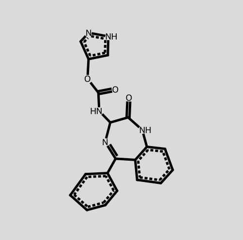 O=C(NC1N=C(c2ccccc2)c2ccccc2NC1=O)Oc1cn[nH]c1